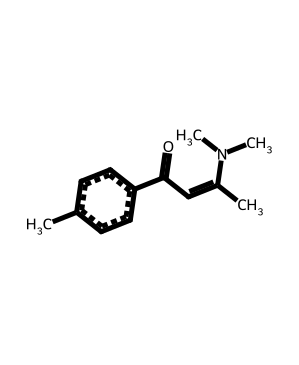 CC(=CC(=O)c1ccc(C)cc1)N(C)C